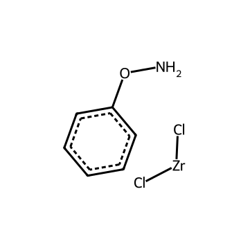 NOc1ccccc1.[Cl][Zr][Cl]